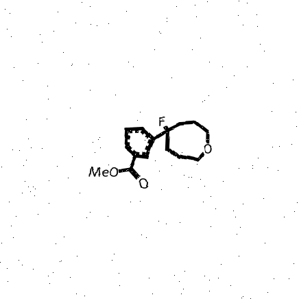 COC(=O)c1cccc(C2(F)CCCOCCC2)c1